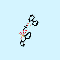 CC(C)(COP1(=O)Oc2ccccc2-c2ccccc21)COP1(=O)Oc2ccccc2-c2ccccc21